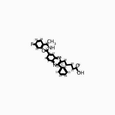 C[C@H](NC(=O)c1ccc2nc(-c3ccccc3)c(CCCCC(=O)O)nc2c1)c1ccc(F)cc1